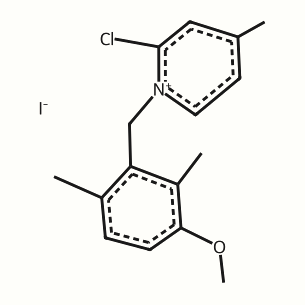 COc1ccc(C)c(C[n+]2ccc(C)cc2Cl)c1C.[I-]